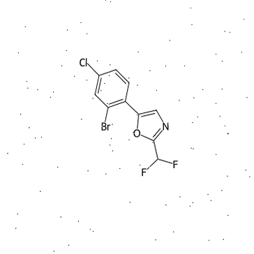 FC(F)c1ncc(-c2ccc(Cl)cc2Br)o1